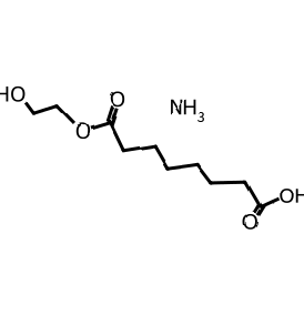 N.O=C(O)CCCCCCC(=O)OCCO